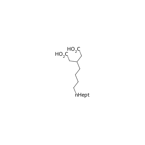 CCCCCCCCCCCC(CC(=O)O)CC(=O)O